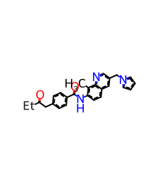 CCC(=O)Cc1ccc(C(=O)Nc2ccc3cc(Cn4cccc4)cnc3c2C)cc1